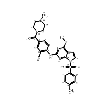 CCOc1nc(Nc2ccc(C(=O)N3CCN(C)CC3)cc2Cl)nc2c1ccn2S(=O)(=O)c1ccc(C)cc1